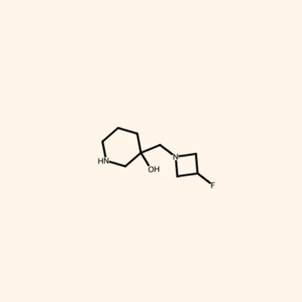 OC1(CN2CC(F)C2)CCCNC1